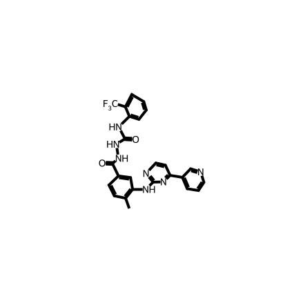 Cc1ccc(C(=O)NNC(=O)Nc2ccccc2C(F)(F)F)cc1Nc1nccc(-c2cccnc2)n1